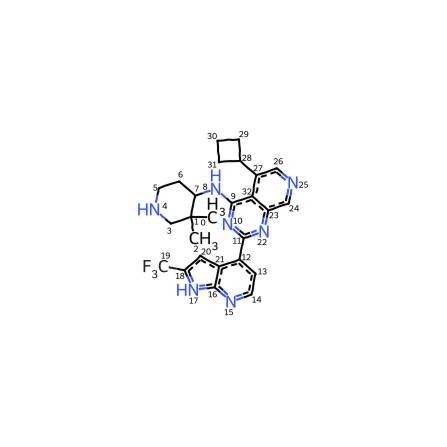 CC1(C)CNCCC1Nc1nc(-c2ccnc3[nH]c(C(F)(F)F)cc23)nc2cncc(C3CCC3)c12